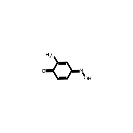 CC1=CC(=NO)C=CC1=O